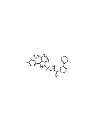 Cc1ccc(-c2nn(C(C)(C)CNC(=O)c3cccc(N4CCCCC4)c3)c3ncnc(N)c23)cc1